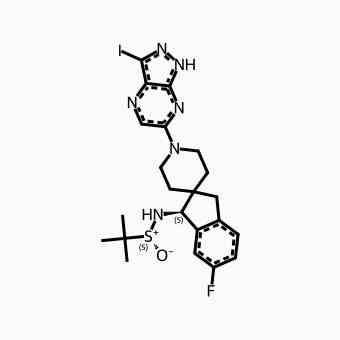 CC(C)(C)[S@@+]([O-])N[C@@H]1c2cc(F)ccc2CC12CCN(c1cnc3c(I)n[nH]c3n1)CC2